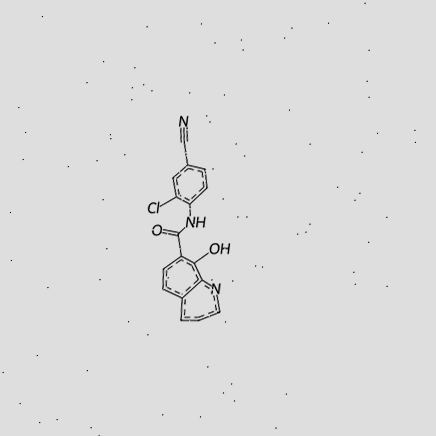 N#Cc1ccc(NC(=O)c2ccc3cccnc3c2O)c(Cl)c1